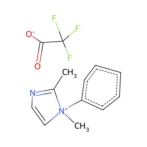 CC1=NC=C[N+]1(C)c1ccccc1.O=C([O-])C(F)(F)F